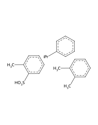 CC(C)c1ccccc1.Cc1ccccc1C.Cc1ccccc1S(=O)(=O)O